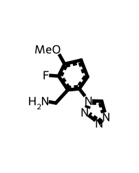 COc1ccc(-n2cnnn2)c(CN)c1F